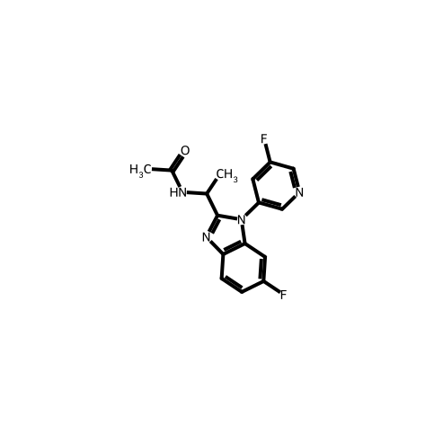 CC(=O)NC(C)c1nc2ccc(F)cc2n1-c1cncc(F)c1